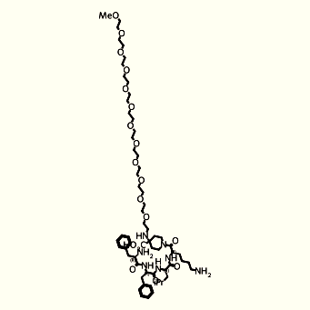 COCCOCCOCCOCCOCCOCCOCCOCCOCCOCCOCCOCCNC1(C(=O)O)CCN(C(=O)[C@@H](CCCCN)NC(=O)[C@@H](CC(C)C)NC(=O)[C@@H](Cc2ccccc2)NC(=O)[C@H](N)Cc2ccccc2)CC1